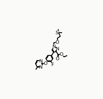 CCOC(=O)c1nn(COCC[Si](C)(C)C)cc1-c1ccc(Oc2nccc(C)n2)c(F)c1